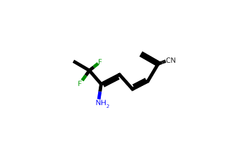 C=C(C#N)/C=C\C=C(/N)C(C)(F)F